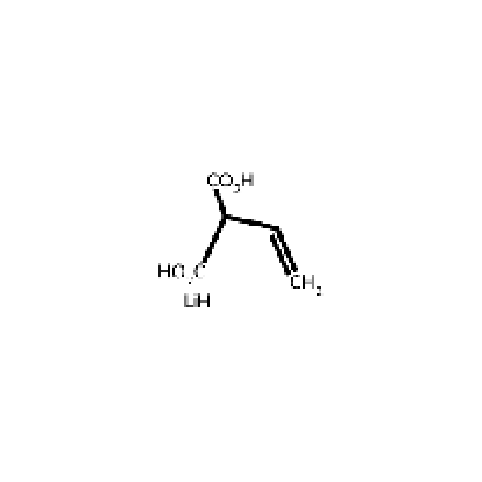 C=CC(C(=O)O)C(=O)O.[LiH]